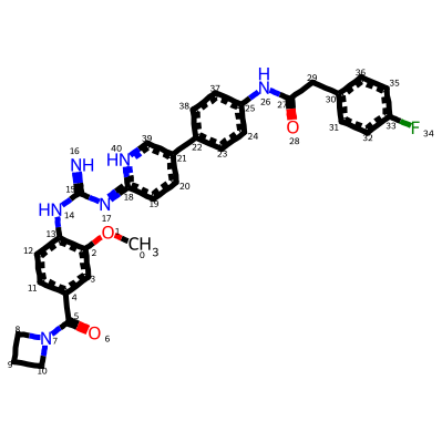 COc1cc(C(=O)N2CCC2)ccc1NC(=N)/N=c1/ccc(-c2ccc(NC(=O)Cc3ccc(F)cc3)cc2)c[nH]1